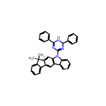 CC1(C)c2ccccc2-c2cc3c4ccccc4n(C4=NC(c5ccccc5)NC(c5ccccc5)=N4)c3cc21